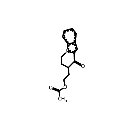 CC(=O)OCCC1CCn2c(cc3ccccc32)C1=O